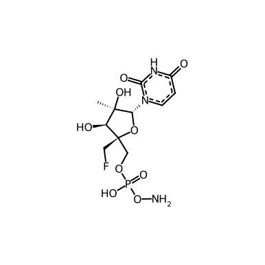 C[C@@]1(O)[C@H](O)[C@@](CF)(COP(=O)(O)ON)O[C@H]1n1ccc(=O)[nH]c1=O